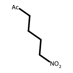 CC(=O)CCCC[N+](=O)[O-]